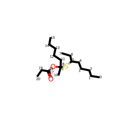 CCCCCC(CC)SC(C)(CCCCC)OC(=O)CC